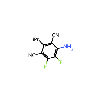 CC(C)c1c(C#N)c(N)c(F)c(F)c1C#N